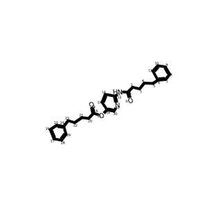 O=C(CCCCc1ccccc1)Nc1ccc(OC(=O)CCCCc2ccccc2)cn1